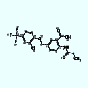 CCC(=O)Nc1ccc(COc2ccc(C(F)(F)F)cc2Cl)cc1C(=O)O